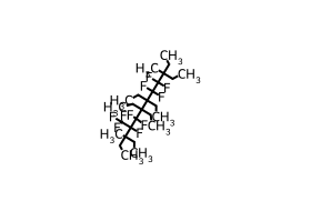 CCC(C)(CC)C(F)(F)C(F)(F)C(CC)(CC)C(CC)(CC)C(F)(F)C(F)(C(F)(F)F)C(C)(CC)CC